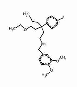 CCCC(CCNCc1ccc(OC)c(OC)c1)(CCOCC)c1ccc(F)cc1